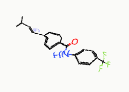 CC(C)/C=C/c1ccc(C(=O)Nc2ccc(C(F)(F)F)cc2)cc1